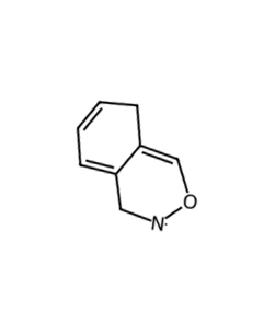 C1=CCC2=CO[N]CC2=C1